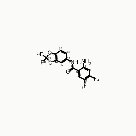 Nc1cc(F)c(F)cc1C(=O)Nc1ccc2c(c1)OC(F)(F)O2